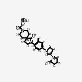 Cc1cc(N2CC[C@H](N3CCC[C@H]3C)C2)ccc1N1CCC2(CCN(C(=O)OC(C)(C)C)CC2)C1=O